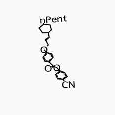 CCCCCC1CCC(C=CCOc2ccc(C(=O)Oc3ccc(C#N)cc3)cc2)CC1